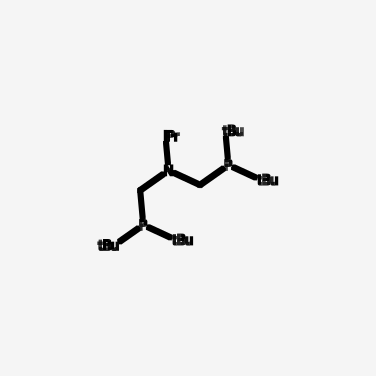 CC(C)N(CP(C(C)(C)C)C(C)(C)C)CP(C(C)(C)C)C(C)(C)C